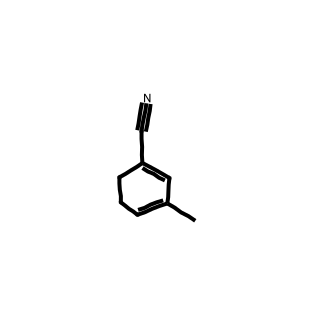 CC1=CCCC(C#N)=C1